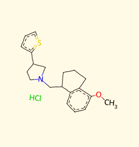 COc1cccc2c1CCCC2CN1CCC(c2cccs2)C1.Cl